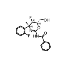 C[C@]1(c2ccccc2F)N=C(NC(=O)c2ccccc2)O[C@@H](CO)[C@@H]1F